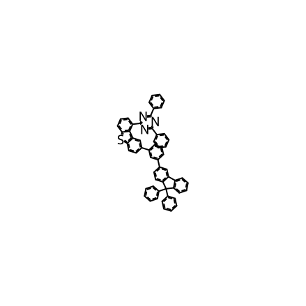 c1ccc(-c2nc(-c3ccccc3)nc(-c3cccc4sc5ccc(-c6cccc(-c7ccc8c(c7)-c7ccccc7C8(c7ccccc7)c7ccccc7)c6)cc5c34)n2)cc1